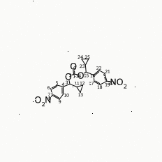 O=C(OC(c1ccc([N+](=O)[O-])cc1)C1CC1)OC(c1ccc([N+](=O)[O-])cc1)C1CC1